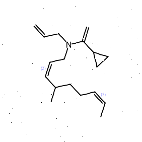 C=CCN(C/C=C\C(C)CC/C=C\C)C(=C)C1CC1